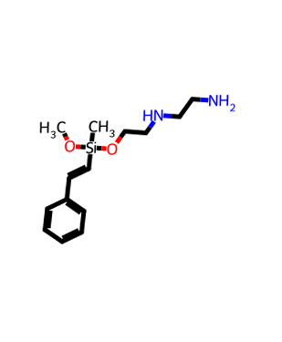 CO[Si](C)(C=Cc1ccccc1)OCCNCCN